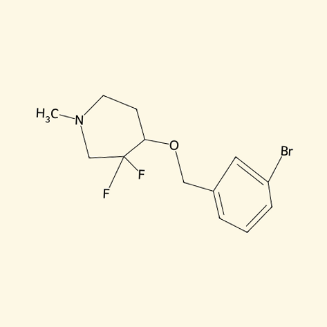 CN1CCC(OCc2cccc(Br)c2)C(F)(F)C1